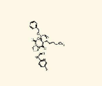 CCCCC[C@H](CN(C=O)OCc1ccccc1)C(=O)N1[C@H](C(=O)Nc2ccc(F)cn2)CCN1C(=O)O